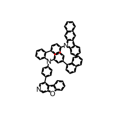 c1cc(-c2cccc3ccccc23)cc(N(c2ccc(-c3cncc4oc5ccccc5c34)cc2)c2ccccc2-c2ccc(-n3c4ccccc4c4cc5ccccc5cc43)cc2)c1